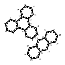 c1ccc2c(c1)c1ccccc1c1ccccc21.c1ccc2cc3ccccc3cc2c1